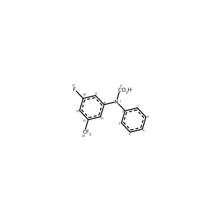 O=C(O)N(c1ccccc1)c1cc(F)cc(C(F)(F)F)c1